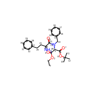 CCOC(=O)[C@H](C(=O)OC(C)(C)C)N(Cc1ccccc1)C(=O)[C@H](N)CCc1ccccc1